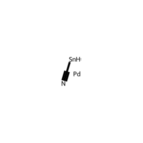 N#[C][SnH].[Pd]